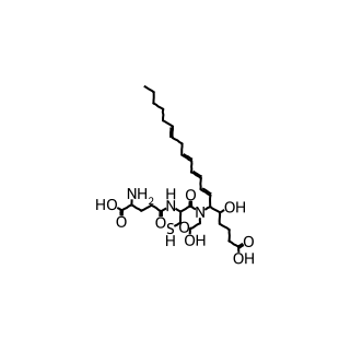 CCCCCC=CCC=CC=CC=CC(C(O)CCCC(=O)O)N(CC(=O)O)C(=O)C(CS)NC(=O)CCC(N)C(=O)O